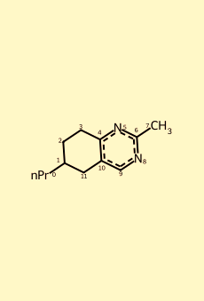 CCCC1CCc2nc(C)ncc2C1